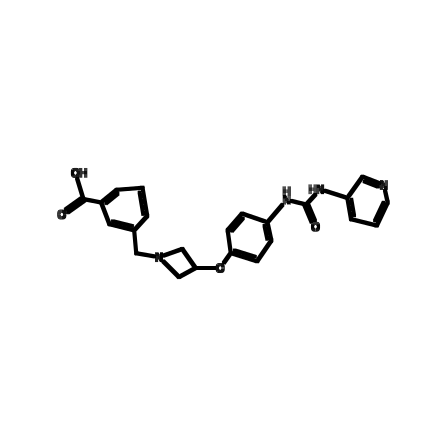 O=C(Nc1ccc(OC2CN(Cc3cccc(C(=O)O)c3)C2)cc1)Nc1cccnc1